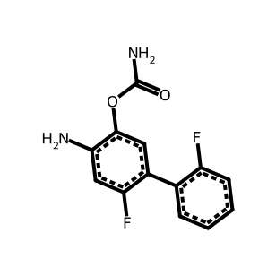 NC(=O)Oc1cc(-c2ccccc2F)c(F)cc1N